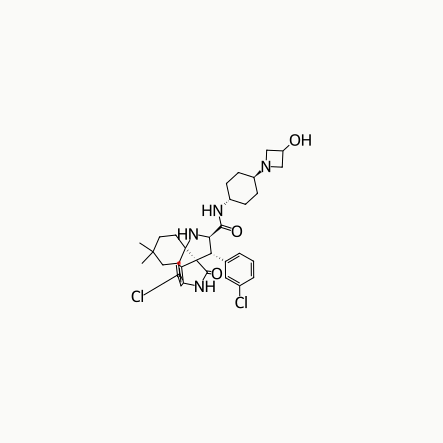 CC1(C)CCC2(CC1)N[C@@H](C(=O)N[C@H]1CC[C@H](N3CC(O)C3)CC1)[C@H](c1cccc(Cl)c1)[C@]21C(=O)Nc2cc(Cl)ccc21